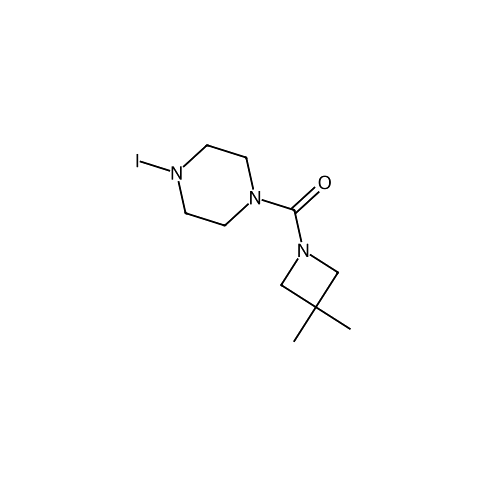 CC1(C)CN(C(=O)N2CCN(I)CC2)C1